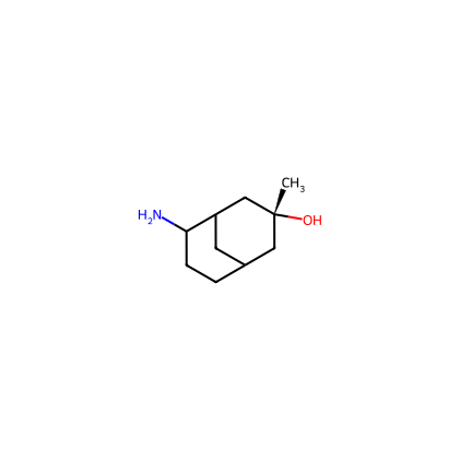 C[C@@]1(O)CC2CCC(N)C(C2)C1